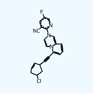 N#Cc1cc(F)cnc1N1C=CN2C(C#CC3C=CCC(Cl)C3)=CC=CC2=C1